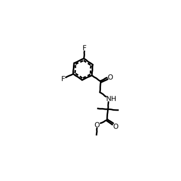 COC(=O)C(C)(C)NCC(=O)c1cc(F)cc(F)c1